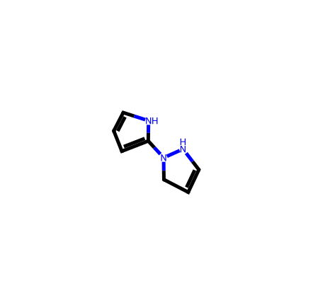 C1=CNN(c2ccc[nH]2)C1